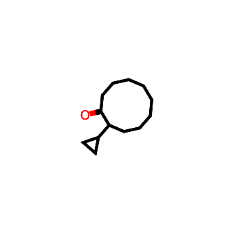 O=C1CCCCCCCCC1C1CC1